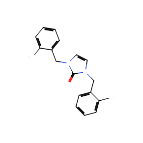 N#Cc1ccccc1Cn1ccn(Cc2ccccc2C#N)c1=O